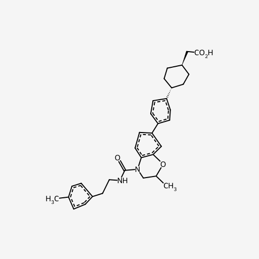 Cc1ccc(CCNC(=O)N2CC(C)Oc3cc(-c4ccc([C@H]5CC[C@H](CC(=O)O)CC5)cc4)ccc32)cc1